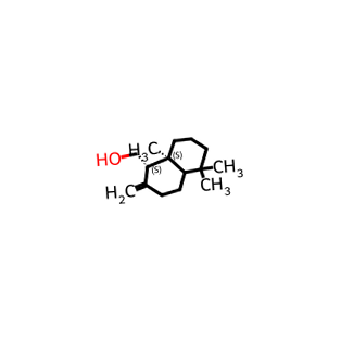 C=C1CCC2C(C)(C)CCC[C@]2(C)[C@H]1CO